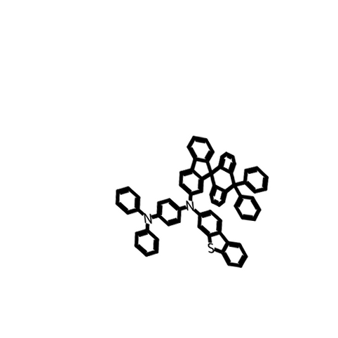 c1ccc(N(c2ccccc2)c2ccc(N(c3ccc4c(c3)C3(c5ccccc5-4)c4ccccc4C(c4ccccc4)(c4ccccc4)c4ccccc43)c3ccc4c(c3)sc3ccccc34)cc2)cc1